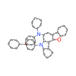 c1ccc(-c2ccc(-n3c4ccccc4c4c5oc6ccccc6c5cc(N(c5ccccc5)c5ccccc5)c43)cc2)cc1